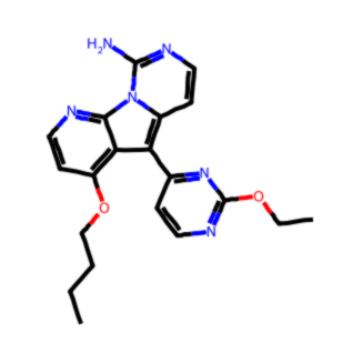 CCCCOc1ccnc2c1c(-c1ccnc(OCC)n1)c1ccnc(N)n12